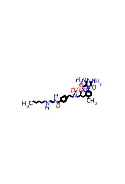 CCCCCCNCCNC(=O)c1ccc(CCN(CC(CNC(=O)c2nc(Cl)c(N)nc2N)Cc2ccccc2C)C(=O)O)cc1